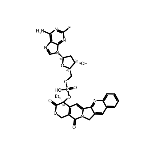 CC[C@@]1(OP(=O)(O)OC[C@H]2O[C@@H](n3cnc4c(N)nc(F)nc43)C[C@@H]2O)C(=O)OCc2c1cc1n(c2=O)Cc2cc3ccccc3nc2-1